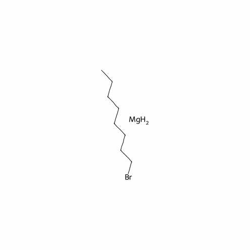 CCCCCCCCBr.[MgH2]